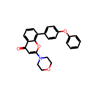 O=c1cc(N2CCOCC2)oc2c(-c3ccc(Oc4ccccc4)cc3)cccc12